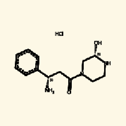 Cl.N[C@@H](CC(=O)N1CCN[C@@H](O)C1)c1ccccc1